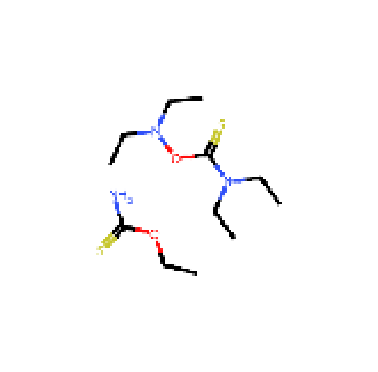 CCN(CC)OC(=S)N(CC)CC.CCOC(N)=S